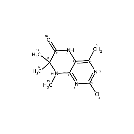 Cc1nc(Cl)nc2c1NC(=O)C(C)(C)N2C